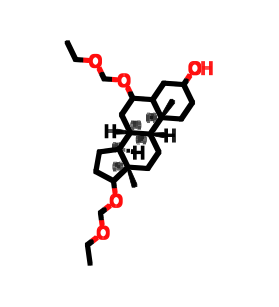 CCOCOC1C[C@@H]2[C@@H](CC[C@]3(C)C(OCOCC)CC[C@@H]23)[C@@]2(C)CCC(O)CC12